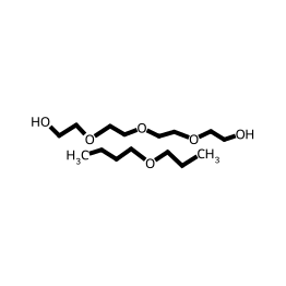 CCCCOCCC.OCCOCCOCCOCCO